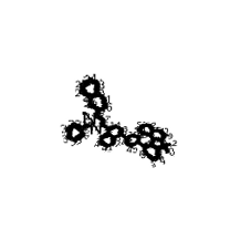 CC1(C)c2cccc(-c3ccc(-c4ccc(-c5cc(-c6ccc7ccccc7c6)nc(-c6ccccc6)n5)c5ccccc45)cc3)c2-c2c1ccc1ccccc21